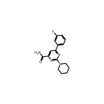 NC(=O)c1cc(-c2cccc(F)c2)nc(N2CCCCC2)n1